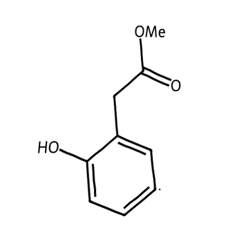 COC(=O)Cc1c[c]ccc1O